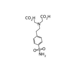 NS(=O)(=O)c1ccc(CCN(CC(=O)O)CC(=O)O)cc1